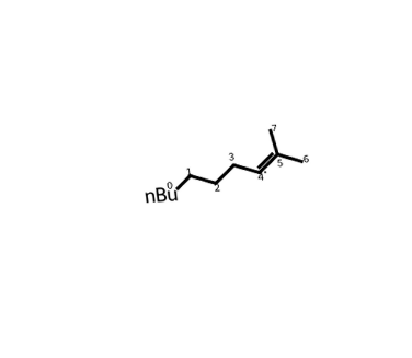 CCCCCCC[C]=C(C)C